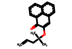 C=CC[Si](C)(C)OC1=Cc2cccc3cccc(c23)C1=O